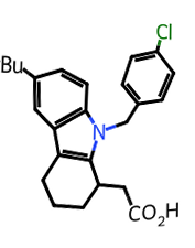 CC(C)(C)c1ccc2c(c1)c1c(n2Cc2ccc(Cl)cc2)C(CC(=O)O)CCC1